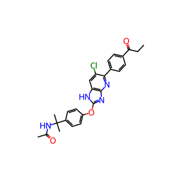 CCC(=O)c1ccc(-c2nc3nc(Oc4ccc(C(C)(C)NC(C)=O)cc4)[nH]c3cc2Cl)cc1